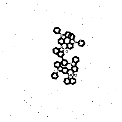 O=P1(c2cccc(-c3cccc(-n4c5ccccc5c5ccc6c(c54)-c4cc5c7ccccc7n(-c7ccccc7)c5cc4N(c4ccccc4)P6(=O)c4ccccc4)c3)c2)c2ccc3c(c2-c2c(ccc4c2c2ccccc2n4-c2ccccc2)N1c1ccccc1)c1ccccc1n3-c1ccccc1